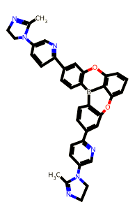 CC1=NCCN1c1ccc(-c2ccc3c(c2)Oc2cccc4c2B3c2ccc(-c3ccc(N5CCN=C5C)cn3)cc2O4)nc1